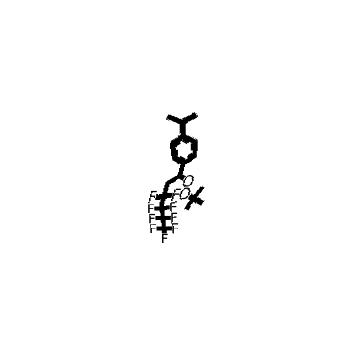 CC(C)c1ccc(C(CC(F)(F)C(F)(F)C(F)(F)C(F)(F)F)OOC(C)(C)C)cc1